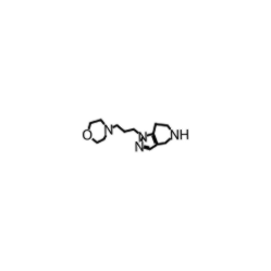 c1nn(CCCN2CCOCC2)c2c1CNCC2